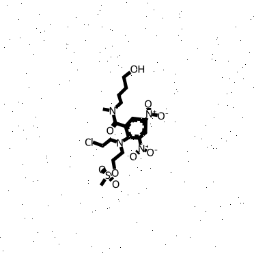 CN(CCCCO)C(=O)c1cc([N+](=O)[O-])cc([N+](=O)[O-])c1N(CCCl)CCOS(C)(=O)=O